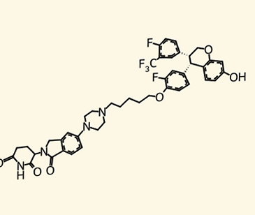 O=C1CCC(N2Cc3cc(N4CCN(CCCCCOc5ccc([C@H]6c7ccc(O)cc7OC[C@H]6c6ccc(F)c(C(F)(F)F)c6)cc5F)CC4)ccc3C2=O)C(=O)N1